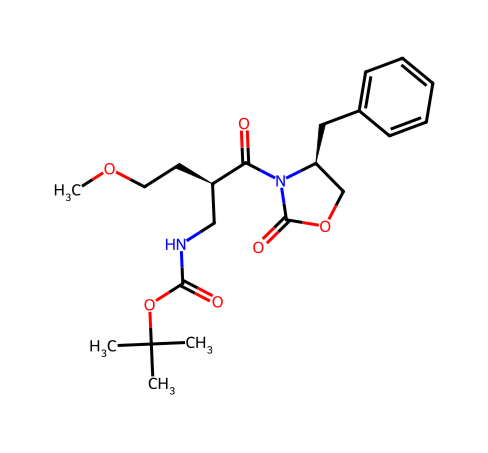 COCC[C@H](CNC(=O)OC(C)(C)C)C(=O)N1C(=O)OC[C@@H]1Cc1ccccc1